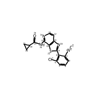 [C-]#[N+]c1cccc(Cl)c1-c1nc2ccnc(NC(=O)C3CC3)c2s1